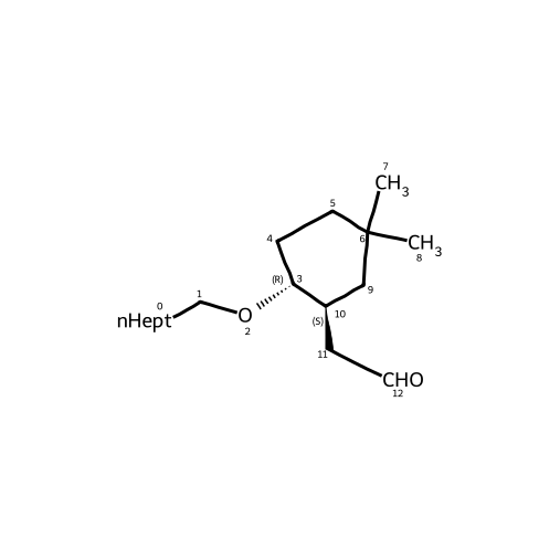 CCCCCCCCO[C@@H]1CCC(C)(C)C[C@H]1CC=O